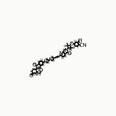 CC1(C)[C@H](Oc2ccc(C#N)c(Cl)c2)C(C)(C)[C@H]1N1Cc2nc(C#CC3CN(C4CN(c5ccc6c(c5)C(=O)N(C5CCC(=O)NC5=O)C6=O)C4)C3)ccc2C1=O